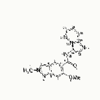 COc1cc2nn(C)cc2cc1C(=O)Nc1cnc2cccnn12